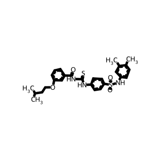 Cc1ccc(NS(=O)(=O)c2ccc(NC(=S)NC(=O)c3cccc(OCCC(C)C)c3)cc2)cc1C